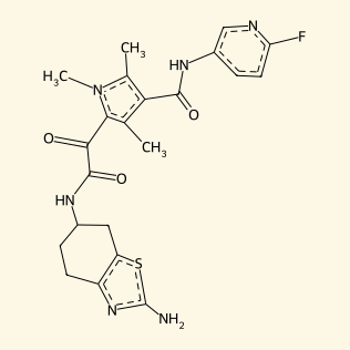 Cc1c(C(=O)Nc2ccc(F)nc2)c(C)n(C)c1C(=O)C(=O)NC1CCc2nc(N)sc2C1